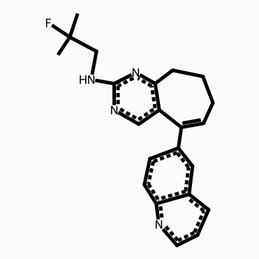 CC(C)(F)CNc1ncc2c(n1)CCCC=C2c1ccc2ncccc2c1